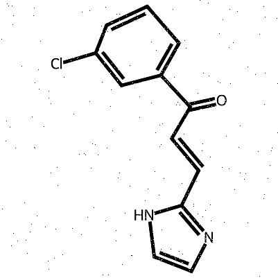 O=C(C=Cc1ncc[nH]1)c1cccc(Cl)c1